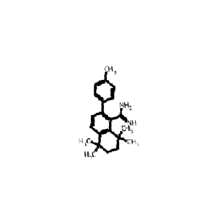 Cc1ccc(-c2ccc3c(c2C(=N)N)C(C)(C)CCC3(C)C)cc1